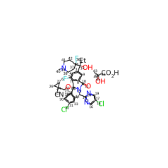 CCC(O)(c1cc(F)c2c(c1)C(=O)N(Cc1ncc(Cl)cn1)[C@@]2(OCC1(C#N)CC1)c1ccc(Cl)cc1)C1(F)CCN(C)CC1.C[C@H](O)C(=O)O